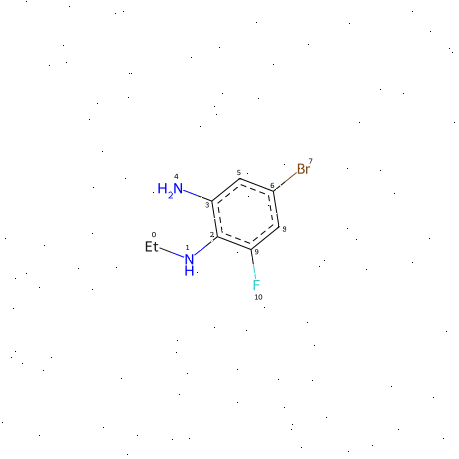 CCNc1c(N)cc(Br)cc1F